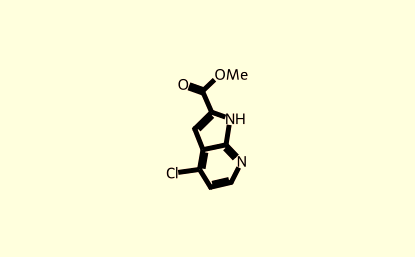 COC(=O)c1cc2c(Cl)ccnc2[nH]1